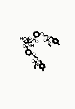 CCNC(=O)N(CCO[C@H]1CCC[C@@H](C(=O)NCC(CC)(NC(=O)[C@@H]2CCC[C@H](OCCN(Cc3ccc(C)cc3)C(=O)NCC)C2)C(=O)O)C1)Cc1ccc(C)cc1